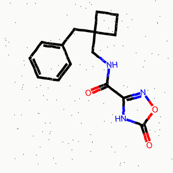 O=C(NCC1(Cc2ccccc2)CCC1)c1noc(=O)[nH]1